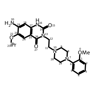 COc1ccccc1N1CCN(CCn2c(=O)[nH]c3cc(N)c(OC(C)C)cc3c2=O)CC1